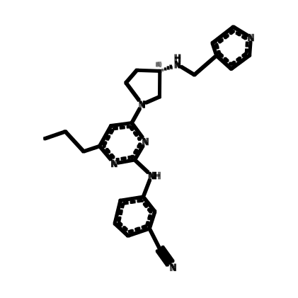 CCCc1cc(N2CC[C@H](NCc3ccncc3)C2)nc(Nc2cccc(C#N)c2)n1